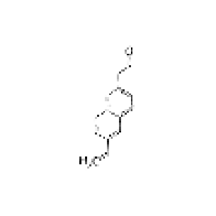 C=Cc1ccc2cc(CC=O)ccc2c1